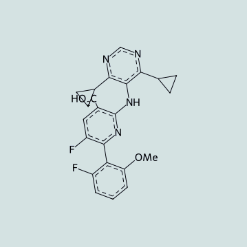 COc1cccc(F)c1-c1nc(Nc2c(C3CC3)ncnc2C2CC2)c(C(=O)O)cc1F